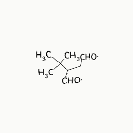 CC(C)(C)C([C]=O)C[C]=O